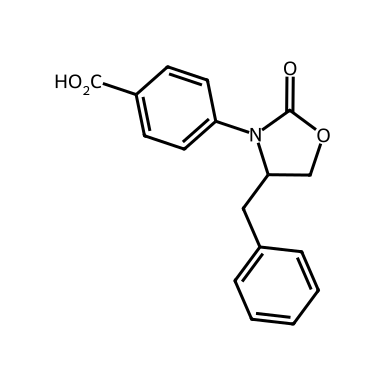 O=C(O)c1ccc(N2C(=O)OCC2Cc2ccccc2)cc1